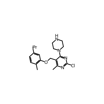 Cc1ccc(C(C)C)cc1OCc1c(C)nc(Cl)nc1N1CCNCC1